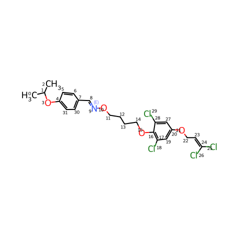 CC(C)Oc1ccc(/C=N/OCCCCOc2c(Cl)cc(OCC=C(Cl)Cl)cc2Cl)cc1